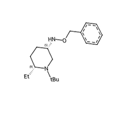 CC[C@@H]1CC[C@H](NOCc2ccccc2)CN1C(C)(C)C